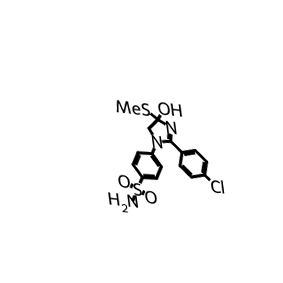 CSC1(O)CN(c2ccc(S(N)(=O)=O)cc2)C(c2ccc(Cl)cc2)=N1